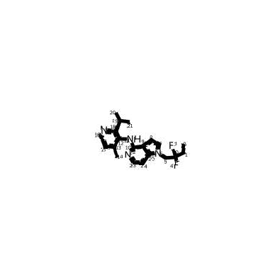 CCC(F)(F)Cn1ccc2c(Nc3c(C)ccnc3C(C)C)nccc21